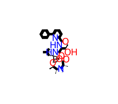 CC(C)C[C@H](NC(=O)C(NC(=O)c1cccc(-c2ccccc2)n1)[C@@H](C)O)B1OC(=O)[C@H](C)N(C)[C@H](C)[C@@H](C)O1